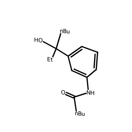 [CH2]CC(O)(CCCC)c1cccc(NC(=O)CCCC)c1